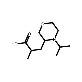 CC(CC1COCCN1C(C)C)C(=O)O